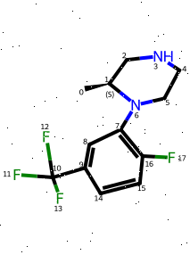 C[C@H]1CNCCN1c1cc(C(F)(F)F)ccc1F